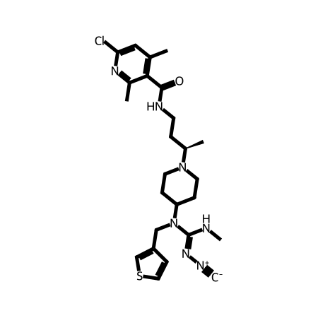 [C-]#[N+]/N=C(\NC)N(Cc1ccsc1)C1CCN([C@H](C)CCNC(=O)c2c(C)cc(Cl)nc2C)CC1